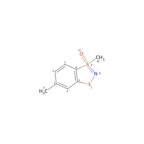 Cc1ccc2c(c1)SN=S2(C)=O